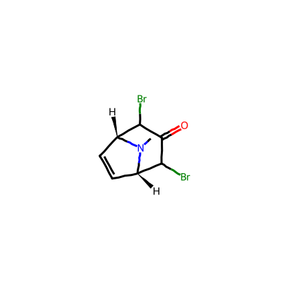 CN1[C@@H]2C=C[C@H]1C(Br)C(=O)C2Br